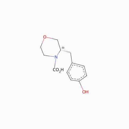 O=C(O)N1CCOC[C@@H]1Cc1ccc(O)cc1